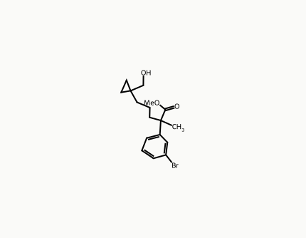 COC(=O)C(C)(CCCC1(CO)CC1)c1cccc(Br)c1